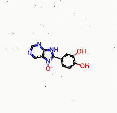 [O-][n+]1c(-c2ccc(O)c(O)c2)[nH]c2ncncc21